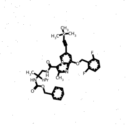 CCCC(C)(CNC(=O)c1c(C)nc2c(OCc3c(F)cccc3F)cc(C#CS(C)(C)C)cn12)NC(=O)OCc1ccccc1